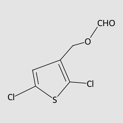 O=COCc1cc(Cl)sc1Cl